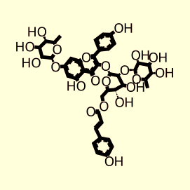 CC1O[C@@H](Oc2cc(O)c3c(=O)c(O[C@@H]4OC(COC(=O)/C=C/c5ccc(O)cc5)[C@@H](O)C(O)[C@@H]4O[C@@H]4OC(C)[C@H](O)C(O)[C@@H]4O)c(-c4ccc(O)cc4)oc3c2)[C@@H](O)C(O)[C@H]1O